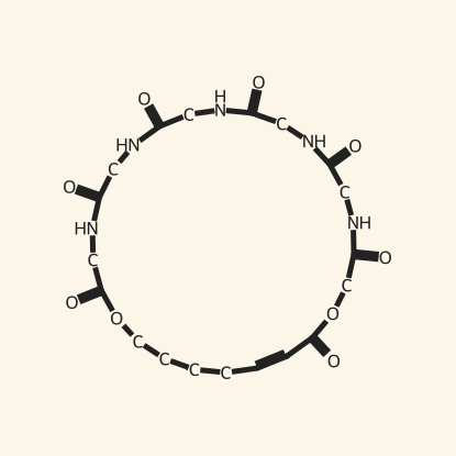 O=C1CNC(=O)CNC(=O)COC(=O)C=CC[CH]CCOC(=O)CNC(=O)CNC(=O)CN1